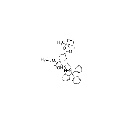 CCOC(=O)C1(C(O)c2ncn(C(c3ccccc3)(c3ccccc3)c3ccccc3)n2)CCN(C(=O)OC(C)(C)C)CC1